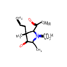 C=CCC1(C)C(=O)C(C)N(C(=O)O)C1C(=O)OC